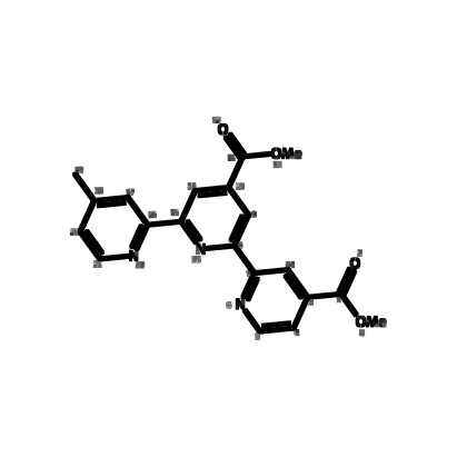 COC(=O)c1ccnc(-c2cc(C(=O)OC)cc(-c3cc(C)ccn3)n2)c1